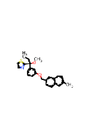 CCC(OC)(c1cccc(OCc2ccc3cc(C)ccc3c2)c1)c1nccs1